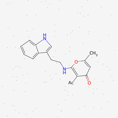 CC(=O)c1c(NCCc2c[nH]c3ccccc23)oc(C)cc1=O